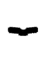 c1ccc2cc3cc4cc(-c5ccc(-c6ccc(-c7ccc8cc9cc%10ccccc%10cc9cc8c7)s6)s5)ccc4cc3cc2c1